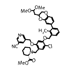 COC(=O)[C@@H]1CCCCN1Cc1cc(Cl)c(OCc2cccc(-c3ccc4c(c3)OC(CC(OC)OC)CO4)c2C)cc1OCc1cncc(C#N)c1